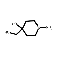 NN1CCC(O)(CO)CC1